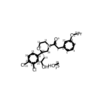 CC(C)Oc1cccc(CC(=O)N2CCO[C@](CCO)(c3ccc(Cl)c(Cl)c3)C2)c1.CS(=O)(=O)O